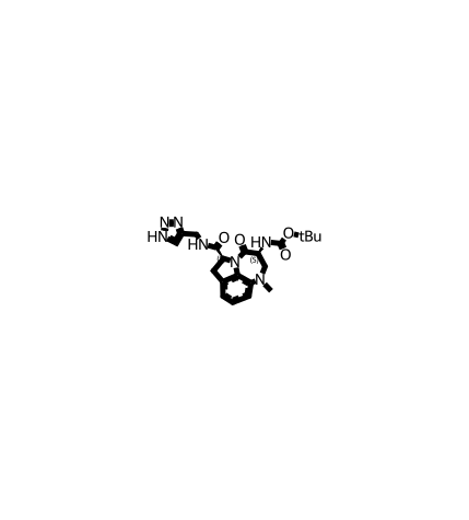 CN1C[C@H](NC(=O)OC(C)(C)C)C(=O)N2c3c(cccc31)C[C@H]2C(=O)NCc1c[nH]nn1